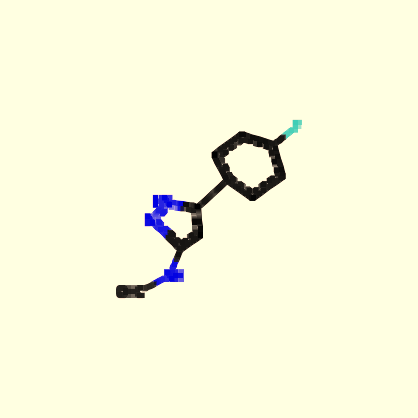 O=CNc1cc(-c2ccc(F)cc2)[nH]n1